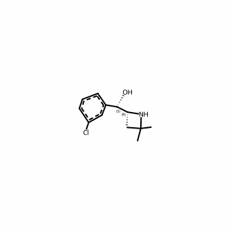 CC1(C)C[C@H]([C@@H](O)c2cccc(Cl)c2)N1